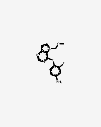 COCn1ccc2ncnc(Oc3ccc(N)cc3F)c21